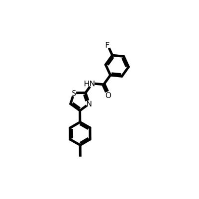 Cc1ccc(-c2csc(NC(=O)c3cccc(F)c3)n2)cc1